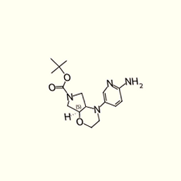 CC(C)(C)OC(=O)N1CC2[C@H](C1)OCCN2c1ccc(N)nc1